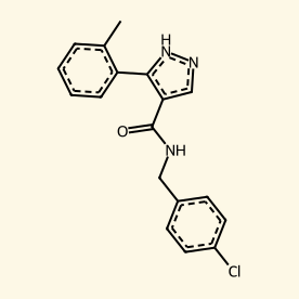 Cc1ccccc1-c1[nH]ncc1C(=O)NCc1ccc(Cl)cc1